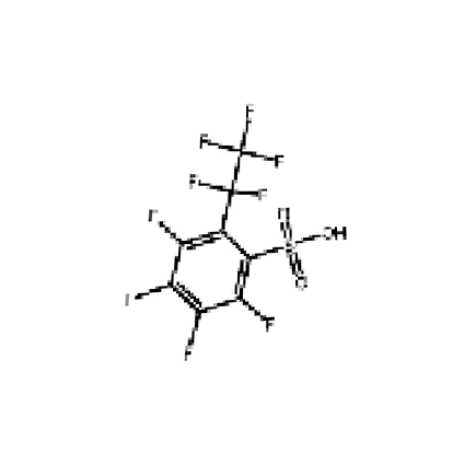 O=S(=O)(O)c1c(F)c(F)c(F)c(F)c1C(F)(F)C(F)(F)F